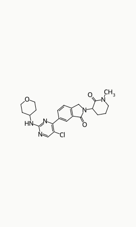 CN1CCCC(N2Cc3ccc(-c4nc(NC5CCOCC5)ncc4Cl)cc3C2=O)C1=O